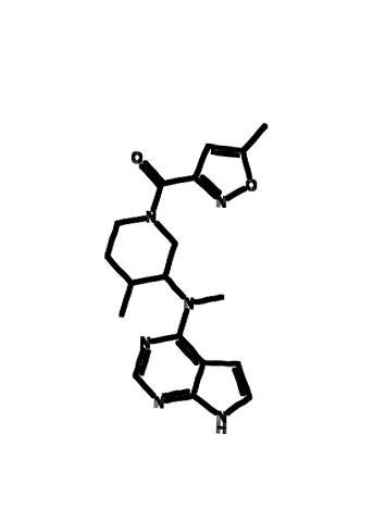 Cc1cc(C(=O)N2CCC(C)C(N(C)c3ncnc4[nH]ccc34)C2)no1